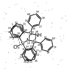 Cl[Si](c1ccccc1)(c1ccccc1)N1[Si](c2ccccc2)(c2ccccc2)N[Si]1(c1ccccc1)c1ccccc1